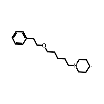 [CH]1CCN(CCCCCOCCc2ccccc2)CC1